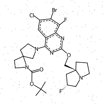 CC(C)(C)OC(=O)N1CCC12CCN(c1nc(OC[C@@]34CCCN3C[C@H](F)C4)nc3c(F)c(Br)c(Cl)cc13)C2